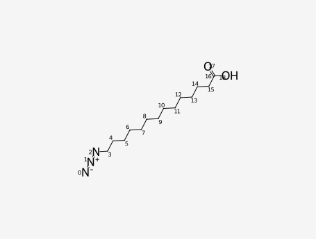 [N-]=[N+]=NCCCCCCCCCCCCCC(=O)O